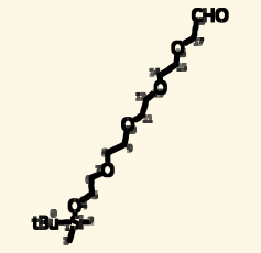 CC(C)(C)[Si](C)(C)OCCOCCOCCOCCOCC=O